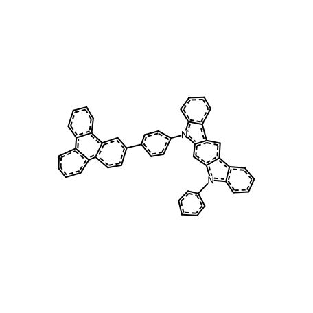 c1ccc(-n2c3ccccc3c3cc4c5ccccc5n(-c5ccc(-c6ccc7c8ccccc8c8ccccc8c7c6)cc5)c4cc32)cc1